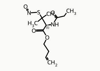 C=CCCOC(=O)[C@H](NC(=O)CC)C(C)(C)SN=O